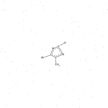 Cc1n[s+]([O-])nc1C(C)C